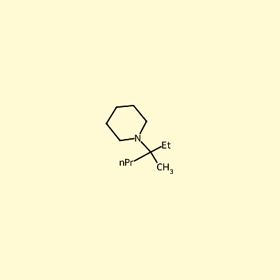 CCCC(C)(CC)N1CCCCC1